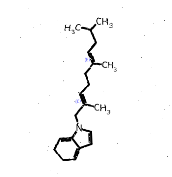 C/C(=C\CC(C)C)CC/C=C(\C)Cn1ccc2c1=CCCC=2